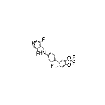 Cc1cc2c(cc1-c1ccc(NCc3c(F)cncc3F)cc1F)OC(F)(F)O2